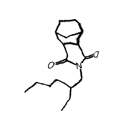 CCCCC(CC)CN1C(=O)C2C3CCC(C3)C2C1=O